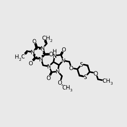 C=Cn1c(=O)n(C=C)c(=O)n(CN2C(=O)N(COC)C3C2NC(=O)N3COC2CSC(OCC)CS2)c1=O